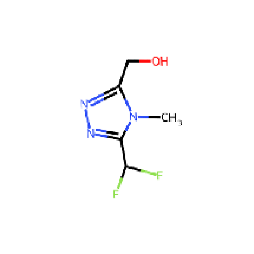 Cn1c(CO)nnc1C(F)F